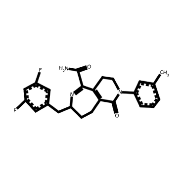 Cc1cccc(N2CCC3=C(CCC(Cc4cc(F)cc(F)c4)N=C3C(N)=O)C2=O)c1